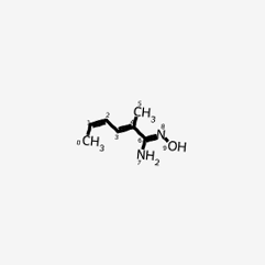 C\C=C/C=C(C)/C(N)=N/O